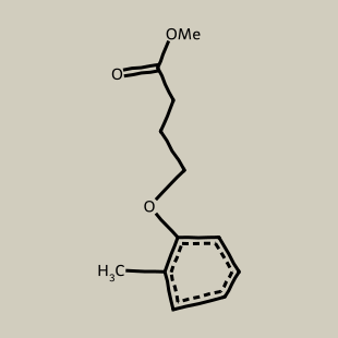 COC(=O)CCCOc1ccccc1C